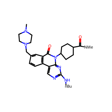 CCCCNc1ncc2c3ccc(CN4CCN(C)CC4)cc3c(=O)n(C3CCC(C(=O)NC)CC3)c2n1